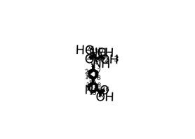 C[C@@H](O)[C@H](NCc1ccc(-c2cncc(C(=O)O)c2)cc1)C(=O)NO